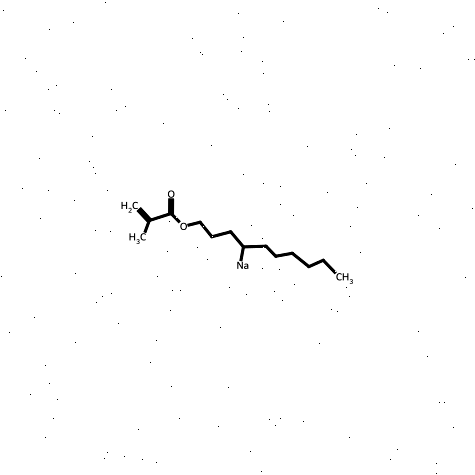 C=C(C)C(=O)OCCC[CH]([Na])CCCCCC